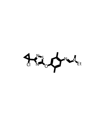 CCN(C)C=Nc1cc(C)c(Oc2nc(C3(Cl)CC3)ns2)cc1C